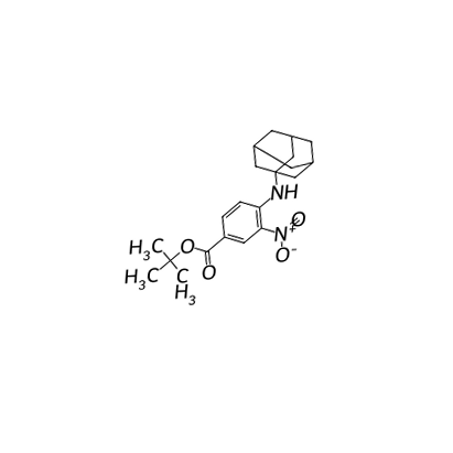 CC(C)(C)OC(=O)c1ccc(NC23CC4CC(CC(C4)C2)C3)c([N+](=O)[O-])c1